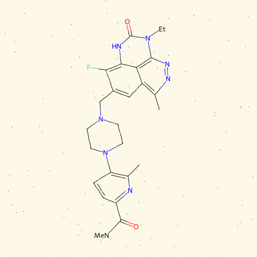 CCN1C(=O)Nc2c(F)c(CN3CCN(c4ccc(C(=O)NC)nc4C)CC3)cc3c(C)nnc1c23